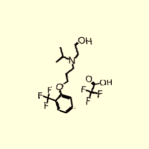 CC(C)N(CCO)CCCOc1c[c]ccc1C(F)(F)F.O=C(O)C(F)(F)F